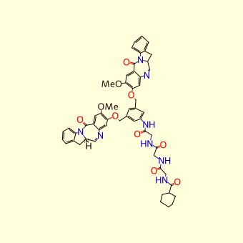 COc1cc2c(cc1OCc1cc(COc3cc4c(cc3OC)C(=O)N3c5ccccc5C[C@H]3C=N4)cc(NC(=O)CNC(=O)CNC(=O)CNC(=O)C3CCCCC3)c1)N=CC1Cc3ccccc3N1C2=O